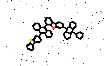 c1ccc(-c2c3ccccc3c(-c3ccc4c(c3)oc3c(-c5c6ccccc6c(-c6ccc7c(c6)sc6ccccc67)c6ccccc56)cccc34)c3ccccc23)cc1